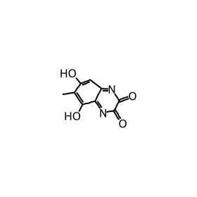 Cc1c(O)cc2c(c1O)=NC(=O)C(=O)N=2